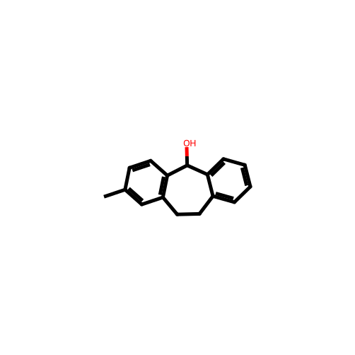 Cc1ccc2c(c1)CCc1ccccc1C2O